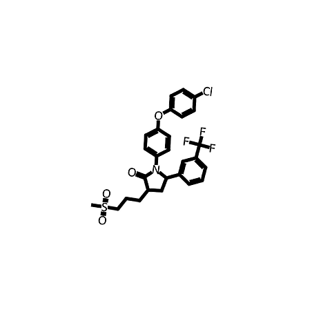 CS(=O)(=O)CCCC1CC(c2cccc(C(F)(F)F)c2)N(c2ccc(Oc3ccc(Cl)cc3)cc2)C1=O